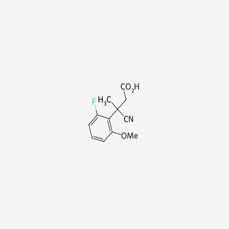 COc1cccc(F)c1C(C)(C#N)CC(=O)O